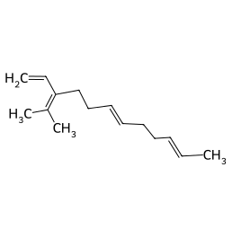 C=CC(CCC=CCCC=CC)=C(C)C